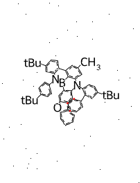 Cc1cc2c3c(c1)N(c1ccc(C(C)(C)C)cc1-c1ccccc1)c1cc4c(cc1B3N(c1ccc(C(C)(C)C)cc1)c1cc(C(C)(C)C)ccc1-2)oc1ccccc14